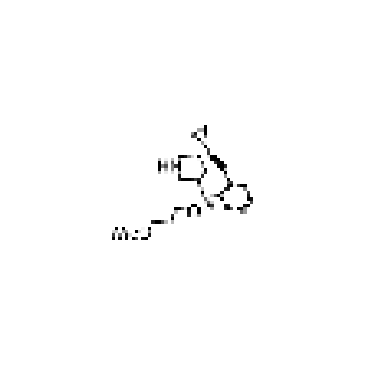 COCCCO[C@@H](c1ccccc1C#CC1CC1)[C@@H]1CCCNC1